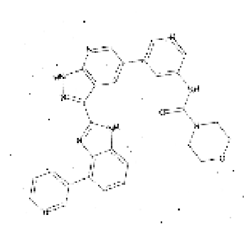 O=C(Nc1cncc(-c2cnc3[nH]nc(-c4nc5c(-c6cccnc6)cccc5[nH]4)c3c2)c1)N1CCOCC1